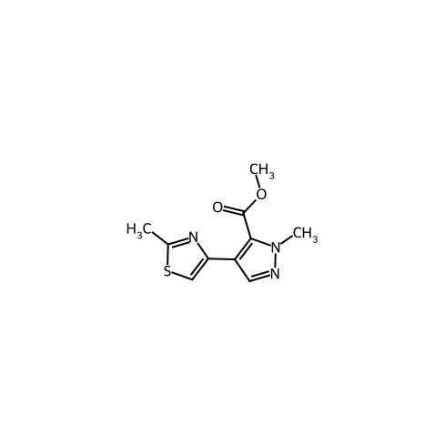 COC(=O)c1c(-c2csc(C)n2)cnn1C